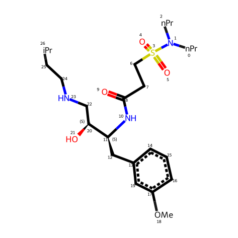 CCCN(CCC)S(=O)(=O)CCC(=O)N[C@@H](Cc1cccc(OC)c1)[C@@H](O)CNCCC(C)C